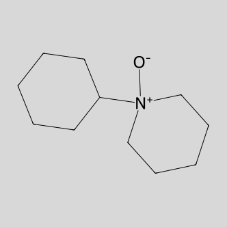 [O-][N+]1(C2CCCCC2)CCCCC1